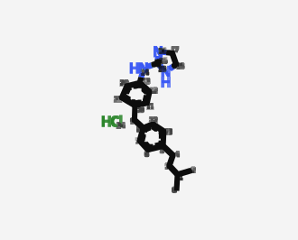 CC(C)CCc1ccc(Cc2ccc(NC3=NCCN3)cc2)cc1.Cl